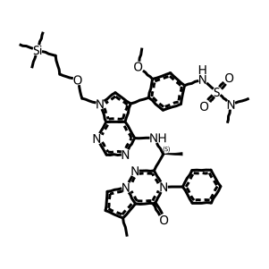 COc1cc(NS(=O)(=O)N(C)C)ccc1-c1cn(COCC[Si](C)(C)C)c2ncnc(N[C@@H](C)c3nn4ccc(C)c4c(=O)n3-c3ccccc3)c12